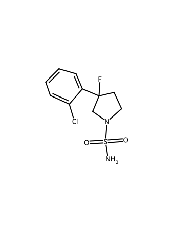 NS(=O)(=O)N1CCC(F)(c2ccccc2Cl)C1